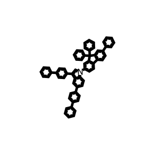 c1ccc(-c2ccc(-c3ccc4c(c3)c(-c3ccc(-c5ccccc5)cc3)cn4-c3ccc4c(c3)C(c3ccccc3)(c3ccccc3)c3cc(-c5ccccc5)ccc3-4)cc2)cc1